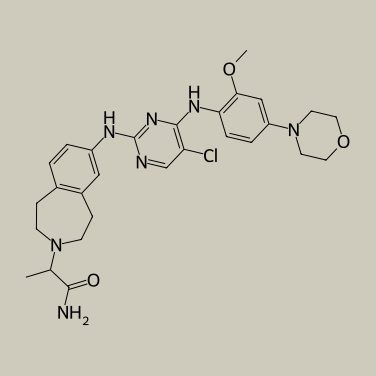 COc1cc(N2CCOCC2)ccc1Nc1nc(Nc2ccc3c(c2)CCN(C(C)C(N)=O)CC3)ncc1Cl